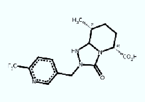 C[C@@H]1CC[C@H](C(=O)O)N2C(=O)N(Cc3ccc(C(F)(F)F)nc3)NC12